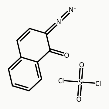 O=S(=O)(Cl)Cl.[N-]=[N+]=C1C=Cc2ccccc2C1=O